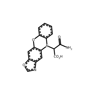 NC(=O)C(C(=O)O)N1c2ccccc2Oc2cc3ocnc3cc21